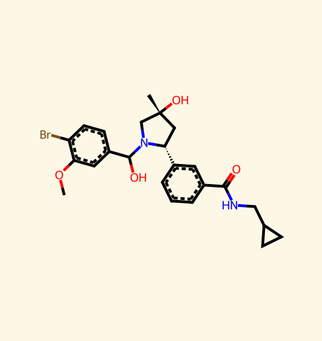 COc1cc(C(O)N2C[C@](C)(O)C[C@@H]2c2cccc(C(=O)NCC3CC3)c2)ccc1Br